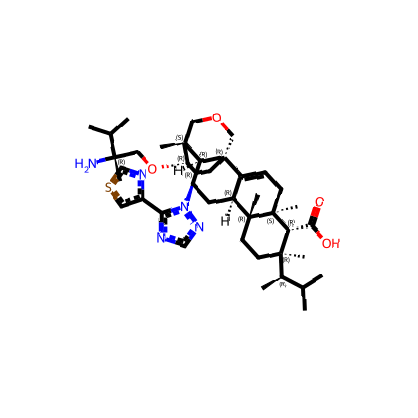 CC(C)[C@@H](C)[C@@]1(C)CC[C@]2(C)[C@H]3CC[C@@H]4[C@@]5(COC[C@@]4(C)[C@@H](OC[C@](C)(N)C(C)C)[C@H](n4ncnc4-c4cscn4)C5)C3=CC[C@@]2(C)[C@@H]1C(=O)O